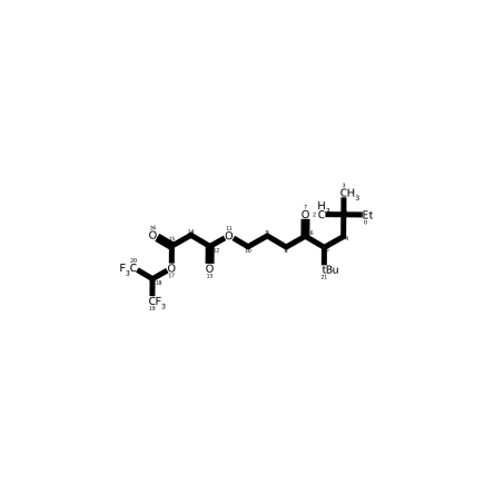 CCC(C)(C)CC(C(=O)CCCOC(=O)CC(=O)OC(C(F)(F)F)C(F)(F)F)C(C)(C)C